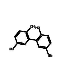 CCC(C)c1ccc(O)c(-c2cc(C(C)CC)ccc2O)c1